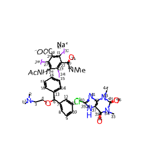 CN(C)CCOC(c1ccccc1)c1ccccc1.CNC(=O)c1c(I)c(NC(C)=O)c(I)c(C(=O)[O-])c1I.Cn1c(=O)c2[nH]c(Cl)nc2n(C)c1=O.[Na+]